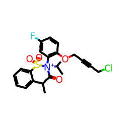 CC1C(=O)[N+](c2cc(F)ccc2OCC#CCCl)(C(C)C)S(=O)(=O)c2ccccc21